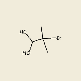 CC(C)(Br)C(O)O